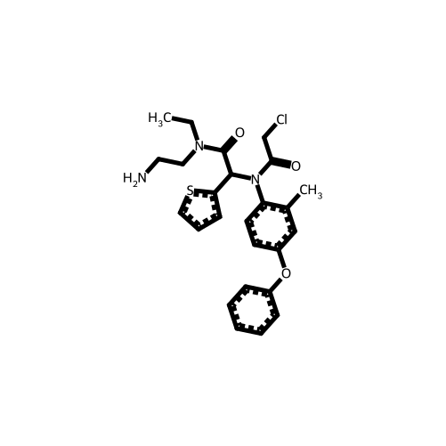 CCN(CCN)C(=O)C(c1cccs1)N(C(=O)CCl)c1ccc(Oc2ccccc2)cc1C